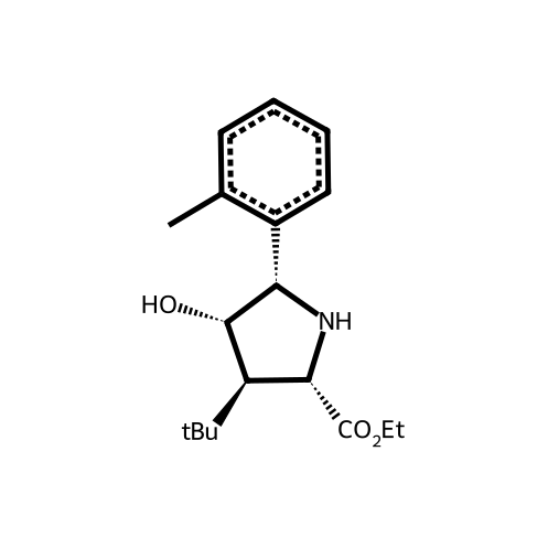 CCOC(=O)[C@H]1N[C@@H](c2ccccc2C)[C@@H](O)[C@@H]1C(C)(C)C